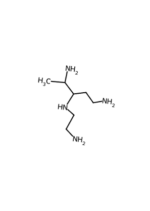 CC(N)C(CCN)NCCN